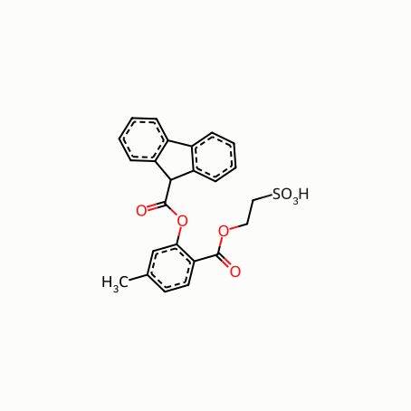 Cc1ccc(C(=O)OCCS(=O)(=O)O)c(OC(=O)C2c3ccccc3-c3ccccc32)c1